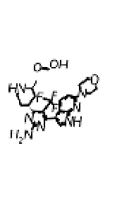 C[C@H]1C[C@H](c2nc(N)nc(-c3c[nH]c4nc(N5CCOCC5)ccc34)c2C(F)(F)F)CCN1.O=CO